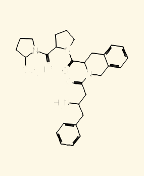 NC(CC(=O)N1Cc2ccccc2CC1C(=O)N1CCCC1C(=O)N1CCCC1C(=O)O)Cc1ccccc1